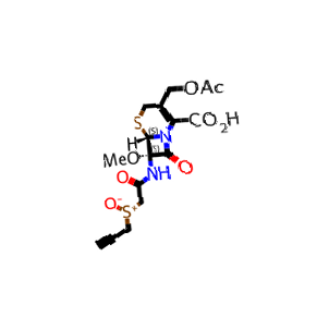 C#CC[S+]([O-])CC(=O)N[C@]1(OC)C(=O)N2C(C(=O)O)=C(COC(C)=O)CS[C@H]21